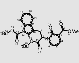 COC(=O)c1cccn(C(Cc2cn(C(=O)OC(C)(C)C)c3ccccc23)C(=O)OC(C)(C)C)c1=O